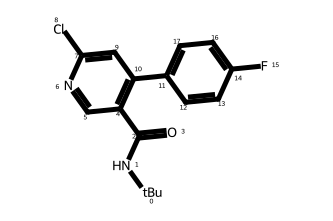 CC(C)(C)NC(=O)c1cnc(Cl)cc1-c1ccc(F)cc1